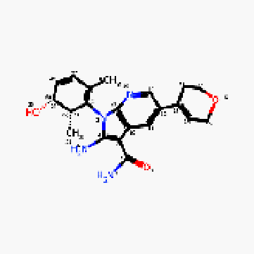 CC1=C(n2c(N)c(C(N)=O)c3cc(C4=CCOCC4)cnc32)[C@H](C)[C@H](O)C=C1